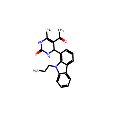 CCCn1c2ccccc2c2cccc(C3NC(=O)NC(C)=C3C(C)=O)c21